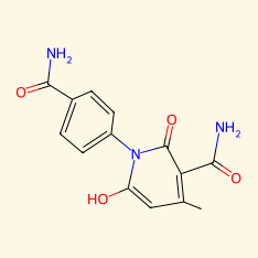 Cc1cc(O)n(-c2ccc(C(N)=O)cc2)c(=O)c1C(N)=O